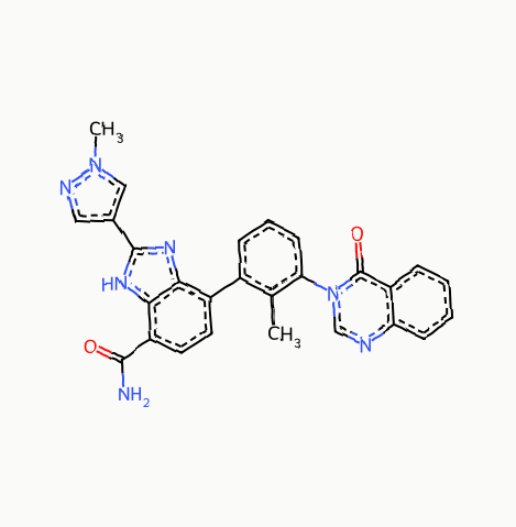 Cc1c(-c2ccc(C(N)=O)c3[nH]c(-c4cnn(C)c4)nc23)cccc1-n1cnc2ccccc2c1=O